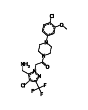 COc1cc(N2CCN(C(=O)Cn3nc(C(F)(F)F)c(Cl)c3CN)CC2)ccc1Cl